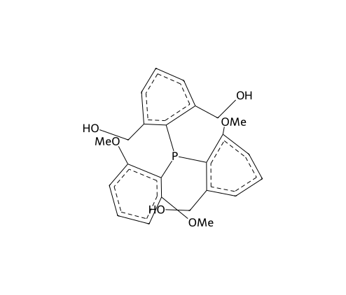 COc1cccc(CO)c1P(c1c(CO)cccc1CO)c1c(OC)cccc1OC